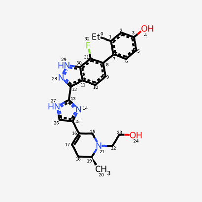 CCc1cc(O)ccc1-c1ccc2c(-c3nc(C4=CC[C@H](C)N(CCO)C4)c[nH]3)n[nH]c2c1F